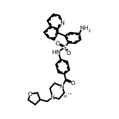 C[C@@H]1CN(CC2CCOC2)CCN1C(=O)c1ccc(NS(=O)(=O)c2ccc(N)cc2-c2cccc3cccnc23)cc1